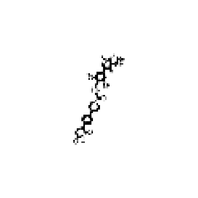 C=NNc1c(C)c(-c2cc(OC)c(CNCC(=O)N3CCC(c4ccc(C5CCC(=O)NC5=O)cc4)CC3)c(OC)c2)cn(C)c1=O